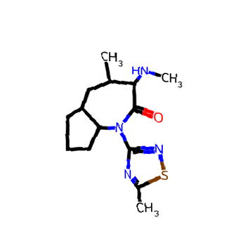 CNC1C(=O)N(c2nsc(C)n2)C2CCCC2CC1C